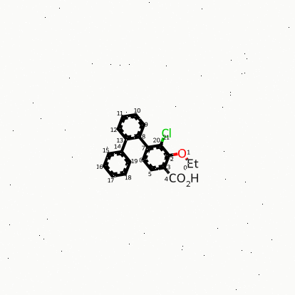 CCOc1c(C(=O)O)ccc(-c2ccccc2-c2ccccc2)c1Cl